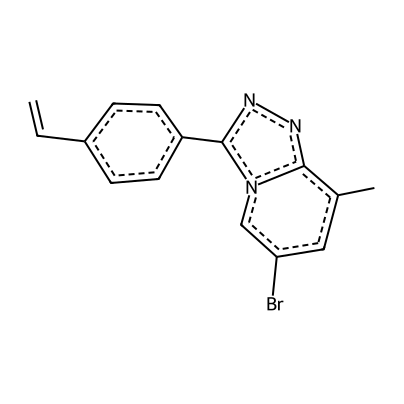 C=Cc1ccc(-c2nnc3c(C)cc(Br)cn23)cc1